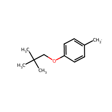 [CH2]c1ccc(OCC(C)(C)C)cc1